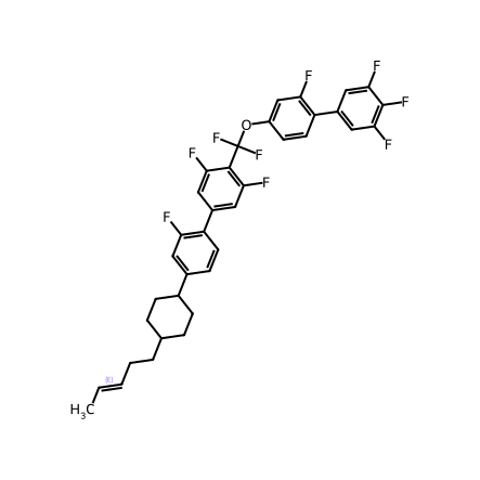 C/C=C/CCC1CCC(c2ccc(-c3cc(F)c(C(F)(F)Oc4ccc(-c5cc(F)c(F)c(F)c5)c(F)c4)c(F)c3)c(F)c2)CC1